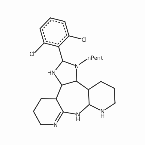 CCCCCN1C(c2c(Cl)cccc2Cl)NC2C3CCCN=C3NC3NCCCC3C21